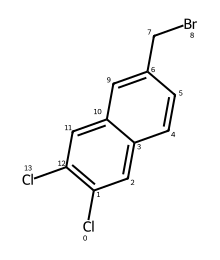 Clc1cc2ccc(CBr)cc2cc1Cl